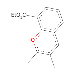 CCOC(=O)c1cccc2cc(C)c(C)[o+]c12